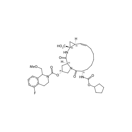 COCC1c2cccc(F)c2CCN1C(=O)O[C@@H]1C[C@H]2C(=O)N[C@]3(C(=O)O)C[C@H]3C=CCCCCC[C@H](NC(=O)OC3CCCC3)C(=O)N2C1